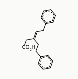 O=C(O)CC(=CCc1ccccc1)CCc1ccccc1